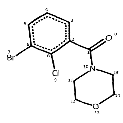 O=C(c1cccc(Br)c1Cl)N1CCOCC1